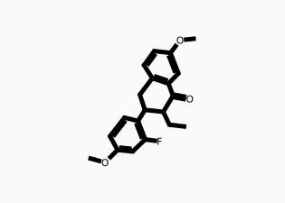 CCC1C(=O)c2cc(OC)ccc2CC1c1ccc(OC)cc1F